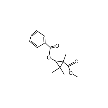 COC(=O)C1(C)C(OC(=O)c2ccccc2)C1(C)C